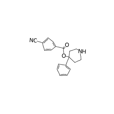 N#Cc1ccc(C(=O)OC2(c3ccccc3)CCNCC2)cc1